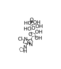 O=P(O)(O)C(CO)(CO)OC[C@H]1O[C@H](c2cnn3c(NC4CCCC4)cc(Cl)nc23)[C@H](O)[C@@H]1O